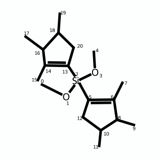 CO[Si](OC)(C1=C(C)C(C)C(C)C1)C1=C(C)C(C)C(C)C1